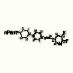 CCCCCC1CCC(c2ccc(C#Cc3cnc(F)c(F)c3)cc2)CC1